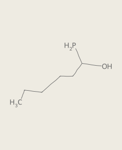 CCCCCC(O)P